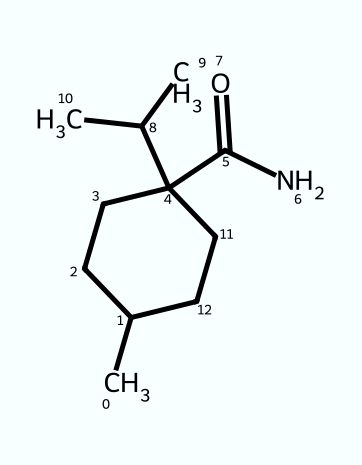 CC1CCC(C(N)=O)(C(C)C)CC1